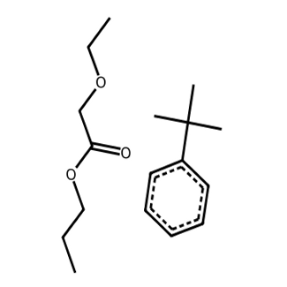 CC(C)(C)c1ccccc1.CCCOC(=O)COCC